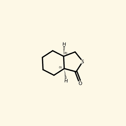 O=C1SC[C@@H]2CCCC[C@H]12